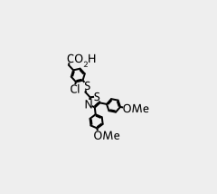 COc1ccc(-c2nc(CSc3ccc(CC(=O)O)cc3Cl)sc2-c2ccc(OC)cc2)cc1